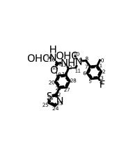 Cc1cc(F)ccc1CN(C=O)C[C@H](NC(=O)NC=O)c1ccc(-c2nccs2)cc1